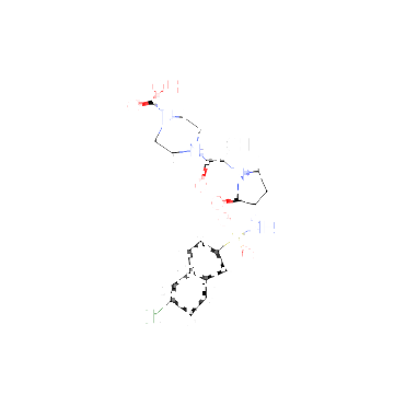 C[C@@H](C(=O)N1CCN(C(=O)O)CC1)N1CC[C@H](NS(=O)(=O)c2ccc3cc(Cl)ccc3c2)C1=O